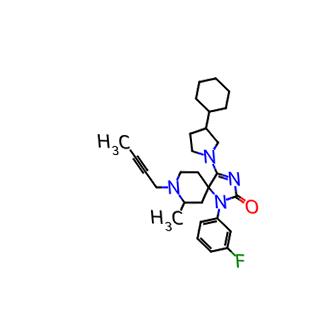 CC#CCN1CCC2(CC1C)C(N1CCC(C3CCCCC3)C1)=NC(=O)N2c1cccc(F)c1